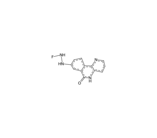 O=c1[nH]c2cccnc2c2ccc(NNF)cc12